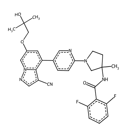 CC(C)(O)COc1cc(-c2ccc(N3CCC(C)(NC(=O)c4c(F)cccc4F)C3)nc2)c2c(C#N)cnn2c1